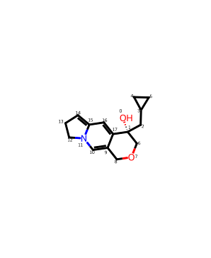 O[C@]1(CC2CC2)COCC2=CN3CCC=C3C=C21